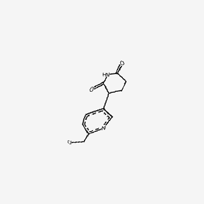 O=C1CCC(c2ccc(CCl)nc2)C(=O)N1